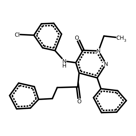 CCn1nc(-c2ccccc2)c(C(=O)CCc2ccccc2)c(Nc2cccc(Cl)c2)c1=O